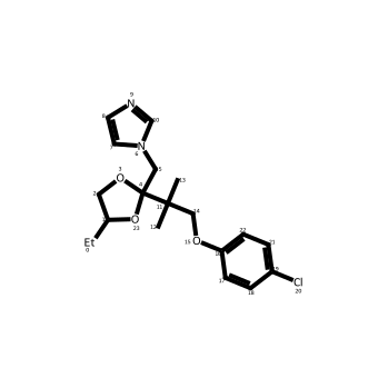 CCC1COC(Cn2ccnc2)(C(C)(C)COc2ccc(Cl)cc2)O1